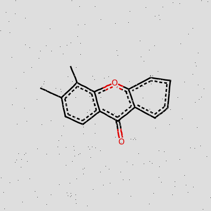 Cc1ccc2c(=O)c3ccc[c]c3oc2c1C